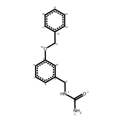 NC(=O)NCc1cccc(OCc2ccccc2)c1